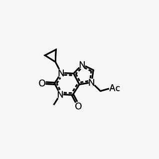 CC(=O)Cn1cnc2c1c(=O)n(C)c(=O)n2C1CC1